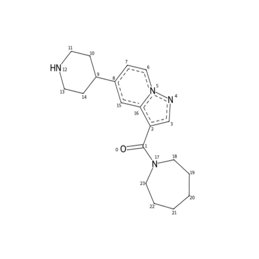 O=C(c1cnn2ccc(C3CCNCC3)cc12)N1CCCCCC1